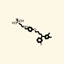 Cc1ccc(C(CCCCOc2ccc(CNCCCP(=O)(O)O)cc2)c2cccc(F)c2)cc1C